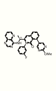 COc1ncc(-c2cccc3cc([C@H](C)Nc4ncnc5cccnc45)n(-c4cccc(F)c4)c(=O)c23)cn1